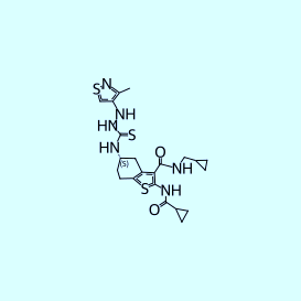 Cc1nscc1NNC(=S)N[C@H]1CCc2sc(NC(=O)C3CC3)c(C(=O)NCC3CC3)c2C1